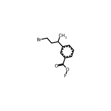 CC(CCBr)c1cccc(C(=O)OF)c1